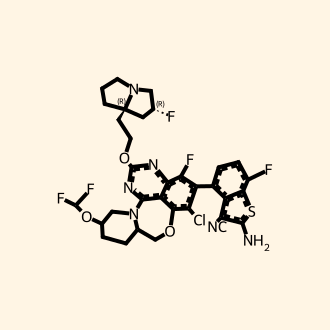 N#Cc1c(N)sc2c(F)ccc(-c3c(Cl)c4c5c(nc(OCC[C@@]67CCCN6C[C@H](F)C7)nc5c3F)N3CC(OC(F)F)CCC3CO4)c12